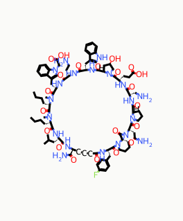 CCCC[C@H]1C(=O)N(C)[C@@H](CCCC)C(=O)N[C@@H](CC(C)C)C(=O)N[C@H](C(N)=O)CCCC(=O)N[C@@H](Cc2ccc(F)cc2)C(=O)N2CCCC[C@@]23C(=O)N3[C@@H](CC(N)=O)C(=O)N2CCC[C@H]2C(=O)N[C@@H](CN)C(=O)N[C@@H](CCC(=O)O)C(=O)N2C[C@H](O)C[C@H]2C(=O)N[C@@H](Cc2c[nH]c3ccccc23)C(=O)N[C@@H](CCN)C(=O)N[C@@H](Cc2cn(CC(=O)O)c3ccccc23)C(=O)N1C